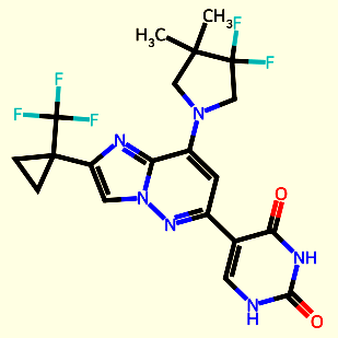 CC1(C)CN(c2cc(-c3c[nH]c(=O)[nH]c3=O)nn3cc(C4(C(F)(F)F)CC4)nc23)CC1(F)F